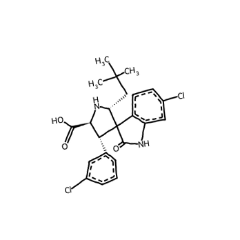 CC(C)(C)C[C@H]1N[C@H](C(=O)O)[C@@H](c2cccc(Cl)c2)C12C(=O)Nc1cc(Cl)ccc12